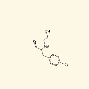 O=CC(Cc1ccc(Cl)cc1)NCCO